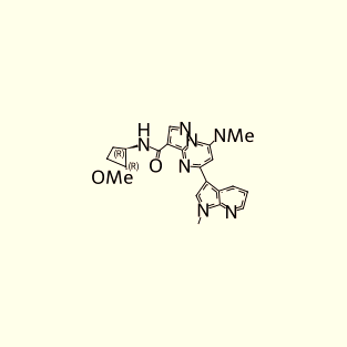 CNc1cc(-c2cn(C)c3ncccc23)nc2c(C(=O)N[C@@H]3CC[C@H]3OC)cnn12